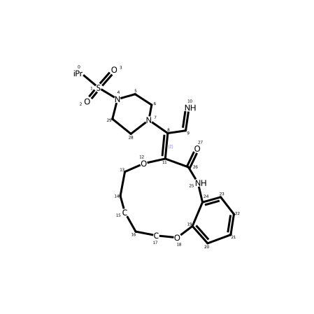 CC(C)S(=O)(=O)N1CCN(/C(C=N)=C2\OCCCCCOc3ccccc3NC2=O)CC1